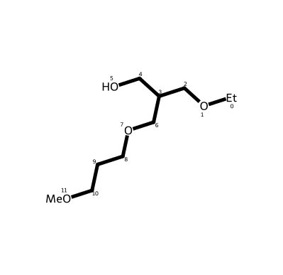 CCOCC(CO)COCCCOC